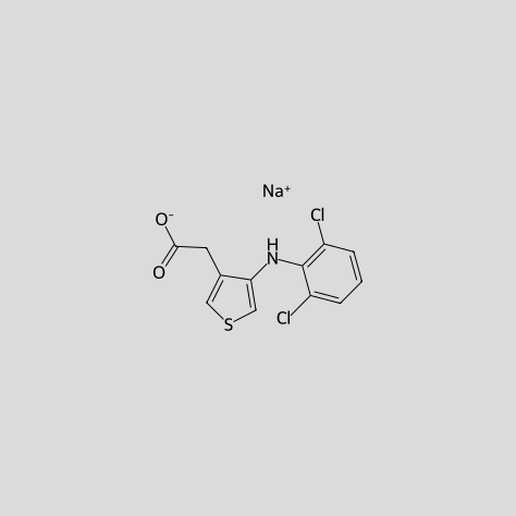 O=C([O-])Cc1cscc1Nc1c(Cl)cccc1Cl.[Na+]